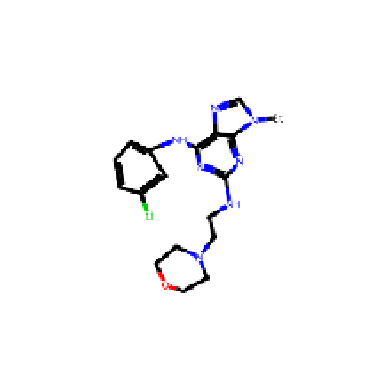 CCn1cnc2c(Nc3cccc(Cl)c3)nc(NCCN3CCOCC3)nc21